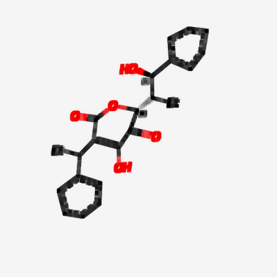 CCC(C1=C(O)C(=O)[C@@H](C(CC)[C@@H](O)c2ccccc2)OC1=O)c1ccccc1